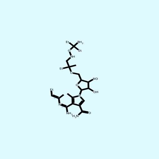 BC(CC)(CC)ONCC(C)(CC)OCC1OC(n2cc(C(N)=O)c(/C(N)=N\C(C)=C\CC)c2C)C(O)C1N=O